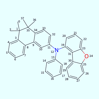 CC1(C)c2ccccc2-c2cc(N(c3ccccc3)c3cccc4oc5ccccc5c34)ccc2C1(C)C